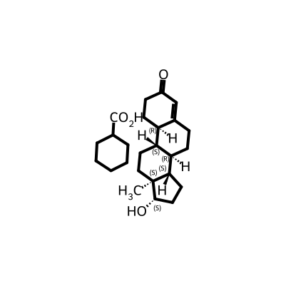 C[C@]12CC[C@H]3[C@@H](CCC4=CC(=O)CC[C@@H]43)[C@@H]1CC[C@@H]2O.O=C(O)C1CCCCC1